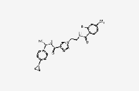 N#CC(NC(=O)c1cn(CCNC(=O)c2ccc(C(F)(F)F)cc2F)nn1)c1ccc(C2CC2)cc1